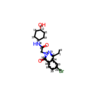 CCc1nn(CC(=O)N[C@H]2CC[C@H](O)CC2)c(=O)c2ccc(Br)cc12